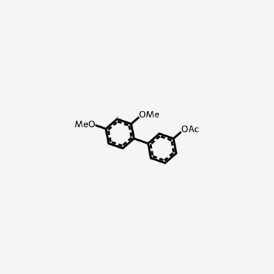 COc1[c]c(OC)c(-c2cccc(OC(C)=O)c2)cc1